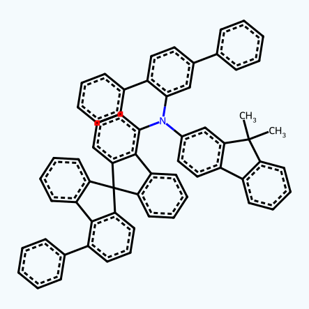 CC1(C)c2ccccc2-c2ccc(N(c3cc(-c4ccccc4)ccc3-c3ccccc3)c3cccc4c3-c3ccccc3C43c4ccccc4-c4c(-c5ccccc5)cccc43)cc21